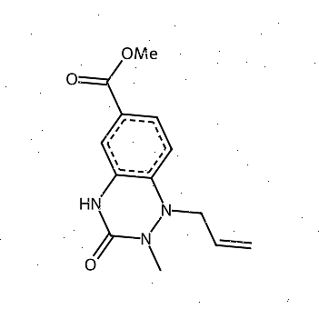 C=CCN1c2ccc(C(=O)OC)cc2NC(=O)N1C